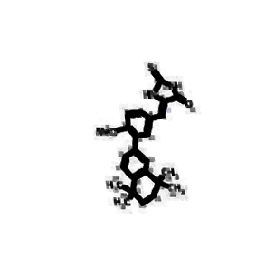 COc1ccc(/C=C2\NC(=S)NC2=O)cc1-c1ccc2c(c1)C(C)(C)CCC2(C)C